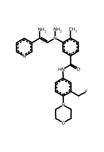 Cc1ccc(C(=O)Nc2ccc(N3CCOCC3)c(CF)c2)cc1N(N)/C=C(\N)c1cccnc1